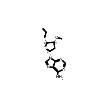 CCC[C@H]1O[C@@H](n2cnc3c(N)ncnc32)C[C@H]1OC